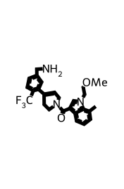 COCCn1cc(C(=O)N2CC=C(c3cc(CN)ccc3C(F)(F)F)CC2)c2cccc(C)c21